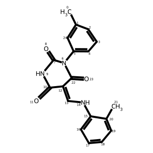 Cc1cccc(N2C(=O)NC(=O)C(=CNc3ccccc3C)C2=O)c1